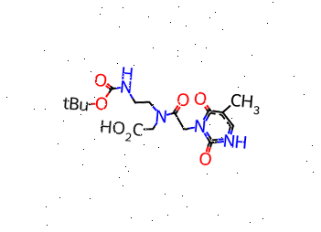 Cc1c[nH]c(=O)n(CC(=O)N(CCNC(=O)OC(C)(C)C)CC(=O)O)c1=O